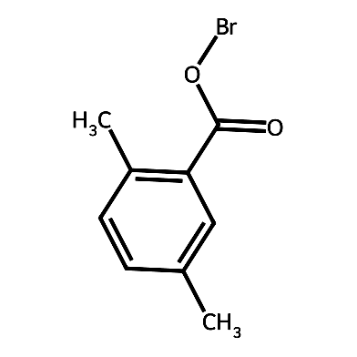 Cc1ccc(C)c(C(=O)OBr)c1